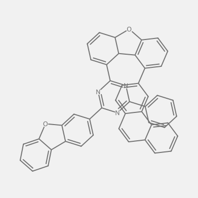 C1=CC2Oc3cccc(-c4ccc5ccc6ccccc6c5c4)c3C2C(c2nc(-c3ccccc3)nc(-c3ccc4c(c3)oc3ccccc34)n2)=C1